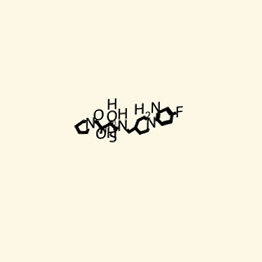 Nc1cc(F)ccc1N1CCC(CNC(=S)[C@H](O)[C@@H](O)C(=O)N2CCCC2)CC1